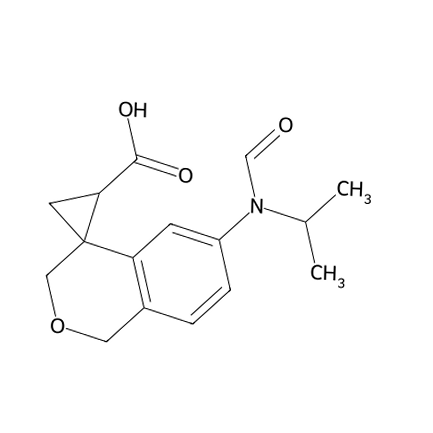 CC(C)N(C=O)c1ccc2c(c1)C1(COC2)CC1C(=O)O